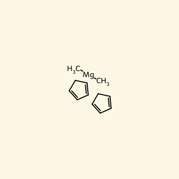 C1=CCC=C1.C1=CCC=C1.[CH3][Mg][CH3]